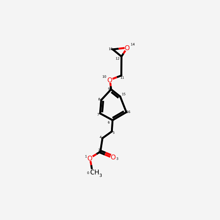 COC(=O)CCc1ccc(OCC2CO2)cc1